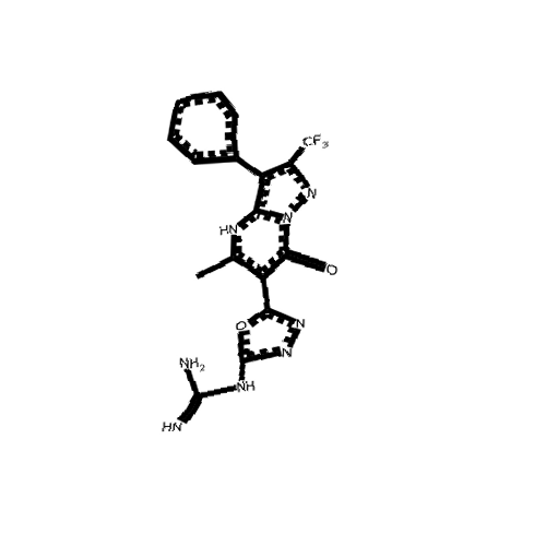 Cc1[nH]c2c(-c3ccccc3)c(C(F)(F)F)nn2c(=O)c1-c1nnc(NC(=N)N)o1